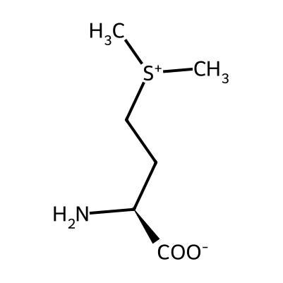 C[S+](C)CC[C@H](N)C(=O)[O-]